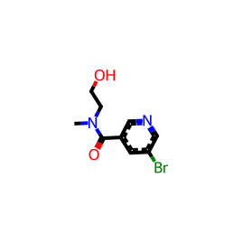 CN(CCO)C(=O)c1cncc(Br)c1